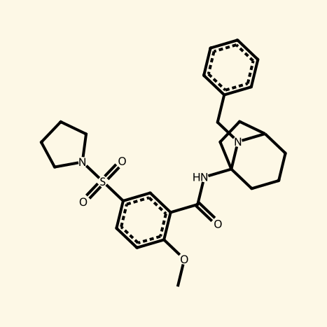 COc1ccc(S(=O)(=O)N2CCCC2)cc1C(=O)NC12CCCC(CC1)N2Cc1ccccc1